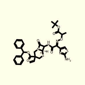 C=CC1(C(=O)OC(c2ccccc2)c2ccccc2)CS[C@@H]2C(NC(=O)C(=NOC(C)C(=O)OC(C)(C)C)c3csc(N)n3)C(=O)N2C1